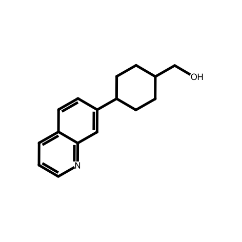 OCC1CCC(c2ccc3cccnc3c2)CC1